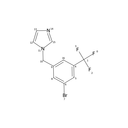 FC(F)(F)c1cc(Br)cc(Cn2ccnc2)c1